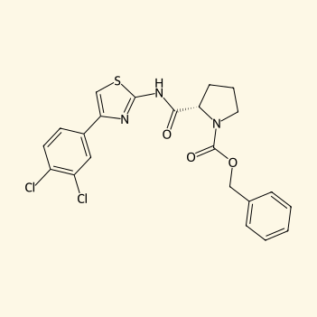 O=C(Nc1nc(-c2ccc(Cl)c(Cl)c2)cs1)[C@@H]1CCCN1C(=O)OCc1ccccc1